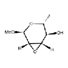 CO[C@H]1O[C@H](C)[C@@H](O)[C@@H]2O[C@H]12